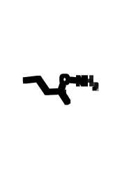 CCC[C](C)ON